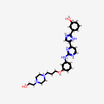 OCCN1CCN(CCCOc2cccc(Nc3nccc(-c4cnc(-c5cccc(O)c5)[nH]4)n3)c2)CC1